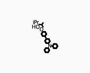 CC(C)C(O)C(C)COc1ccc(-c2ccc(N(c3ccccc3)c3ccccc3)cc2)cc1